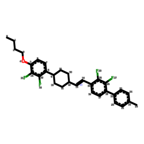 CCCCOc1ccc(C2CCC(/C=C/c3ccc(-c4ccc(C)cc4)c(F)c3F)CC2)c(F)c1F